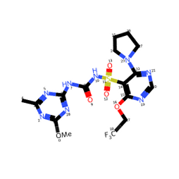 COc1nc(C)nc(NC(=O)NS(=O)(=O)c2c(OCC(F)(F)F)ncnc2N2CCCC2)n1